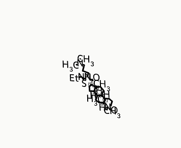 CCNC(=S)N(CCCN(C)C)C(=O)[C@H]1CC[C@H]2[C@@H]3CC[C@H]4N(C)C(=O)CC[C@]4(C)[C@H]3CC[C@]12C